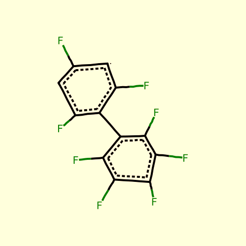 Fc1[c]c(F)c(-c2c(F)c(F)c(F)c(F)c2F)c(F)c1